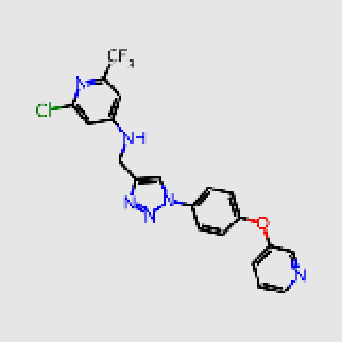 FC(F)(F)c1cc(NCc2cn(-c3ccc(Oc4cccnc4)cc3)nn2)cc(Cl)n1